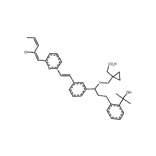 C/C=C\C(Cl)=C/c1cccc(/C=C/c2cccc(C(CCc3ccccc3C(C)(C)O)SCC3(CC(=O)O)CC3)c2)n1